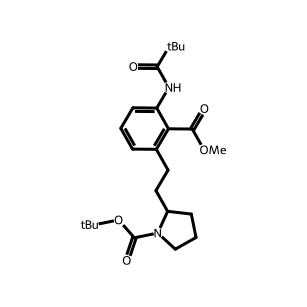 COC(=O)c1c(CCC2CCCN2C(=O)OC(C)(C)C)cccc1NC(=O)C(C)(C)C